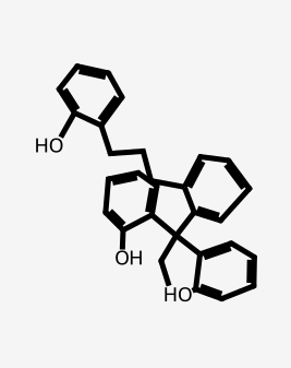 CCC(c1ccccc1O)(c1ccccc1O)c1ccccc1CCCc1ccccc1O